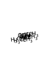 CC(=O)C(C)(C)N(C)C(=O)OC(C)(C)C